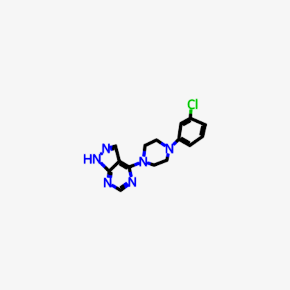 Clc1cccc(N2CCN(c3ncnc4[nH]ncc34)CC2)c1